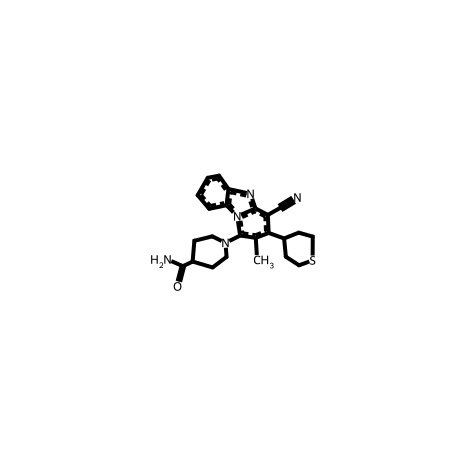 Cc1c(C2CCSCC2)c(C#N)c2nc3ccccc3n2c1N1CCC(C(N)=O)CC1